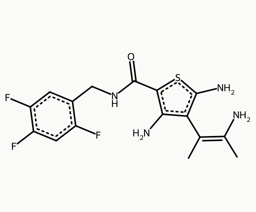 C/C(N)=C(\C)c1c(N)sc(C(=O)NCc2cc(F)c(F)cc2F)c1N